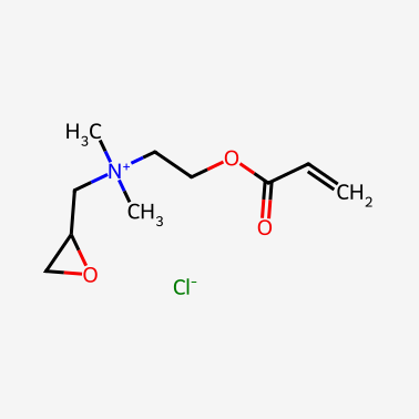 C=CC(=O)OCC[N+](C)(C)CC1CO1.[Cl-]